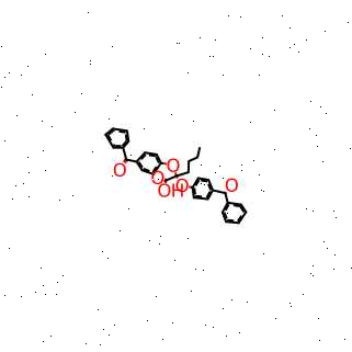 CCCCC(Oc1ccc(C(=O)c2ccccc2)cc1)(Oc1ccc(C(=O)c2ccccc2)cc1)C(=O)O